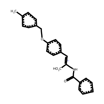 Cc1ccc(COc2ccc(/C=C(/NC(=O)c3ccccc3)C(=O)O)cc2)cc1